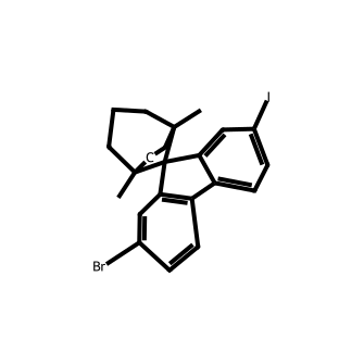 CC12CCCC(C)(CC1)C21c2cc(Br)ccc2-c2ccc(I)cc21